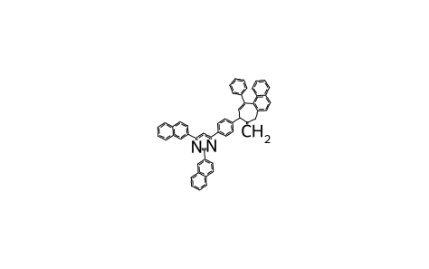 C=C1Cc2ccc3ccccc3c2C(c2ccccc2)=CC1c1ccc(-c2cc(-c3ccc4ccccc4c3)nc(-c3ccc4ccccc4c3)n2)cc1